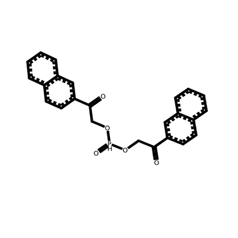 O=C(CO[PH](=O)OCC(=O)c1ccc2ccccc2c1)c1ccc2ccccc2c1